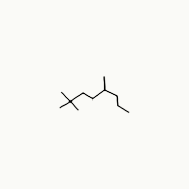 CCCC(C)[CH]CC(C)(C)C